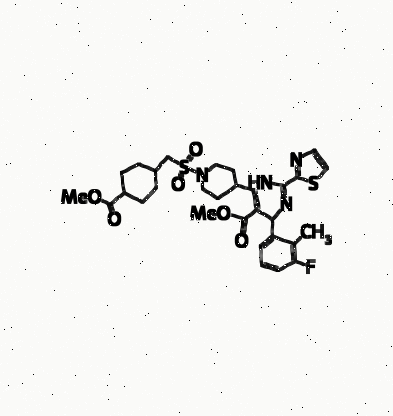 COC(=O)C1=C(C2CCN(S(=O)(=O)CC3CCC(C(=O)OC)CC3)CC2)NC(c2nccs2)=NC1c1cccc(F)c1C